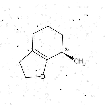 C[C@@H]1CCCC2=C1OCC2